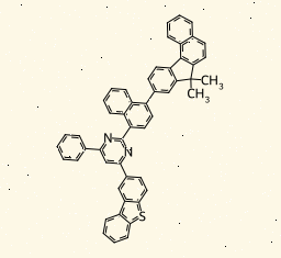 CC1(C)c2cc(-c3ccc(-c4nc(-c5ccccc5)cc(-c5ccc6sc7ccccc7c6c5)n4)c4ccccc34)ccc2-c2c1ccc1ccccc21